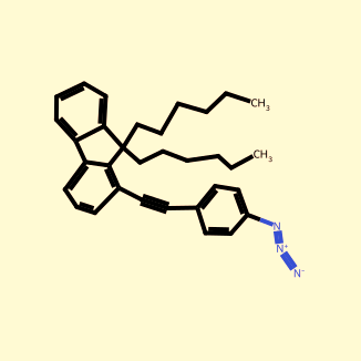 CCCCCCC1(CCCCCC)c2ccccc2-c2cccc(C#Cc3ccc(N=[N+]=[N-])cc3)c21